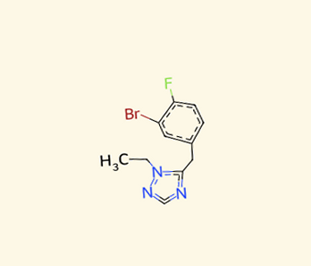 CCn1ncnc1Cc1ccc(F)c(Br)c1